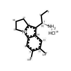 C[CH][C@H](N)c1c2n(c3cc(F)c(F)cc13)CCC2.Cl